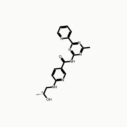 Cc1nc(NC(=O)c2ccc(NC[C@@H](C)O)nc2)nc(-c2ccccn2)n1